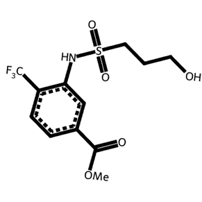 COC(=O)c1ccc(C(F)(F)F)c(NS(=O)(=O)CCCO)c1